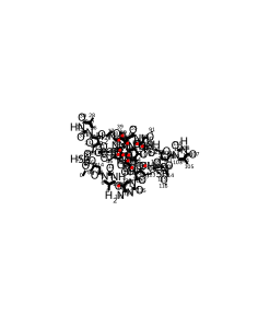 CC[C@H]1O[C@@H](n2cc(C)c(=O)[nH]c2=O)C[C@H]1OP(=O)(S)OC[C@H]1O[C@@H](n2cc(C)c(=O)[nH]c2=O)C(OCCOC)[C@H]1OP(=O)(O)OC[C@H]1O[C@@H](n2cnc3c(=O)[nH]c(N)nc32)C(OCCOC)[C@H]1OP(=O)(O)OC[C@H]1O[C@@H](n2cc(C)c(N)nc2=O)C(OCCOC)[C@H]1OP(=O)(S)OC[C@H]1O[C@@H](n2cc(C)c(=O)[nH]c2=O)C(OCCOC)[C@H]1OP(=O)(S)OC[C@H]1O[C@@H](n2cc(C)c(N)nc2=O)C(OCCOC)[C@H]1O